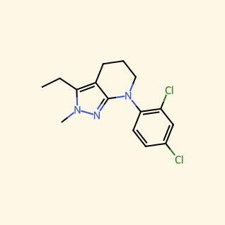 CCc1c2c(nn1C)N(c1ccc(Cl)cc1Cl)CCC2